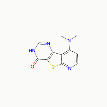 CN(C)c1ccnc2sc3c(=O)[nH]cnc3c12